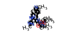 Cc1ccn2c(-c3ccc(NC(=O)C(C)N(C)C(=O)OC(C)(C)C)nc3C#Cc3ccc4c(C)nccc4c3)c(-c3cnc(C)nc3)nc2c1